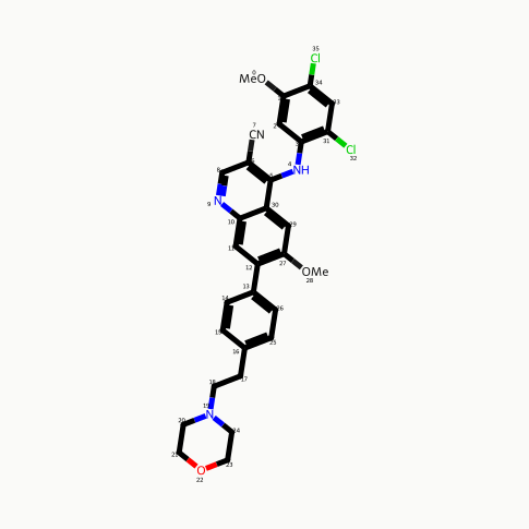 COc1cc(Nc2c(C#N)cnc3cc(-c4ccc(CCN5CCOCC5)cc4)c(OC)cc23)c(Cl)cc1Cl